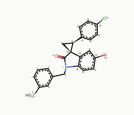 O=C(O)c1cccc(CN2C(=O)[C@@]3(C[C@H]3c3ccc(Cl)cc3)c3cc(Br)ccc32)c1